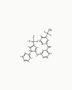 CC(C)(O)c1cc(Nc2cc(Oc3cc(C(F)(F)F)nn3-c3cccnc3)ccn2)ccn1